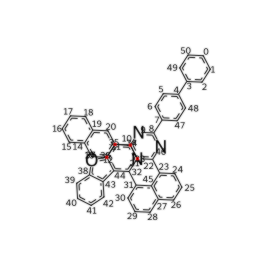 c1ccc(-c2ccc(-c3nc(-c4ccc5ccccc5c4)nc(-c4cccc5cccc(-c6cccc7oc8ccccc8c67)c45)n3)cc2)cc1